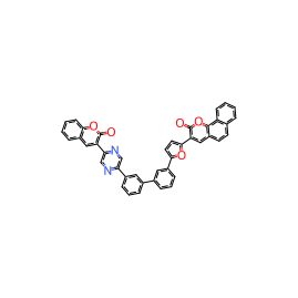 O=c1oc2ccccc2cc1-c1cnc(-c2cccc(-c3cccc(-c4ccc(-c5cc6ccc7ccccc7c6oc5=O)o4)c3)c2)cn1